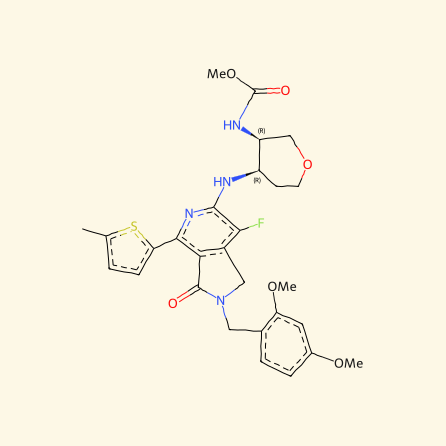 COC(=O)N[C@H]1COCC[C@H]1Nc1nc(-c2ccc(C)s2)c2c(c1F)CN(Cc1ccc(OC)cc1OC)C2=O